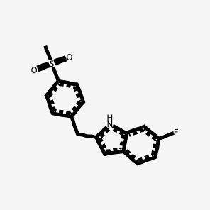 CS(=O)(=O)c1ccc(Cc2cc3ccc(F)cc3[nH]2)cc1